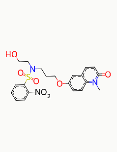 Cn1c(=O)ccc2cc(OCCCN(CCO)S(=O)(=O)c3ccccc3[N+](=O)[O-])ccc21